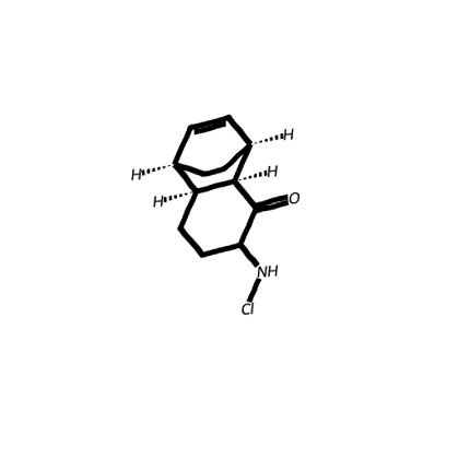 O=C1C(NCl)CC[C@@H]2[C@H]1[C@@H]1C=C[C@H]2CC1